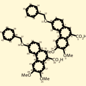 COc1cc2c(C(=O)O)cc3ccc(OCc4ccccc4)cc3c2cc1OC.COc1cc2c(C(=O)O)cc3ccc(OCc4ccccc4)cc3c2cc1OC